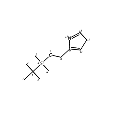 CC(C)(C)[Si](C)(C)OCC1=CCC=N1